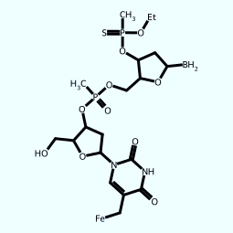 BC1CC(OP(C)(=S)OCC)C(COP(C)(=O)OC2CC(n3cc([CH2][Fe])c(=O)[nH]c3=O)OC2CO)O1